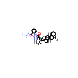 C[C@H](CCC(=O)Nc1ccccc1C(N)=O)[C@H]1CC[C@H]2[C@@H]3CCC4CCCC[C@]4(C)[C@H]3CC[C@]12C